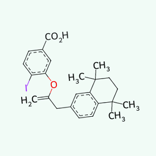 C=C(Cc1ccc2c(c1)C(C)(C)CCC2(C)C)Oc1cc(C(=O)O)ccc1I